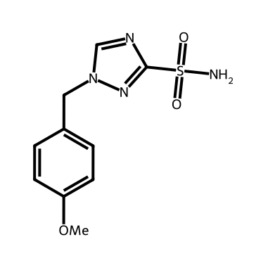 COc1ccc(Cn2cnc(S(N)(=O)=O)n2)cc1